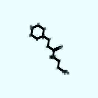 NCCNC(=O)CCN1CCOCC1